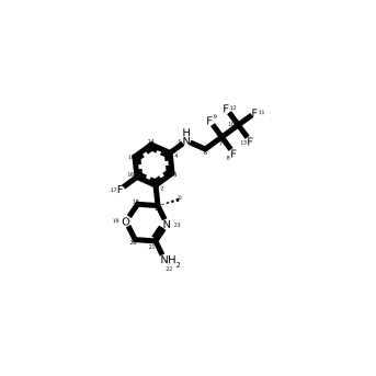 C[C@@]1(c2cc(NCC(F)(F)C(F)(F)F)ccc2F)COCC(N)=N1